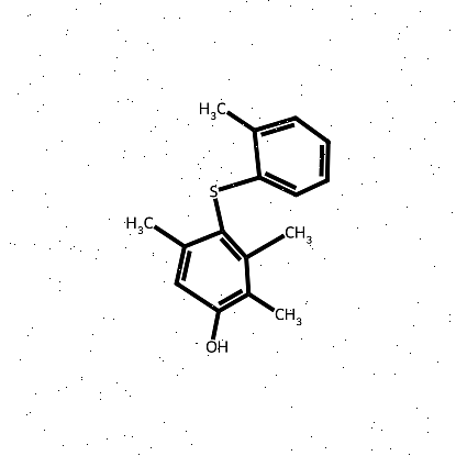 Cc1ccccc1Sc1c(C)cc(O)c(C)c1C